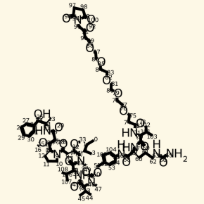 CCC(C)[C@@H]([C@@H](CC(=O)N1CCC[C@H]1[C@H](OC)[C@@H](C)C(=O)N[C@H](C)[C@@H](O)c1ccccc1)OC)N(C)C(=O)[C@@H](NC(=O)[C@H](C(C)C)N(C)C(=O)OCc1ccc(NC(=O)[C@H](CCCNC(N)=O)NC(=O)[C@@H](NC(=O)CCOCCOCCOCCOCCOCCC(=O)CN2C(=O)CCC2=O)C(C)C)cc1)C(C)C